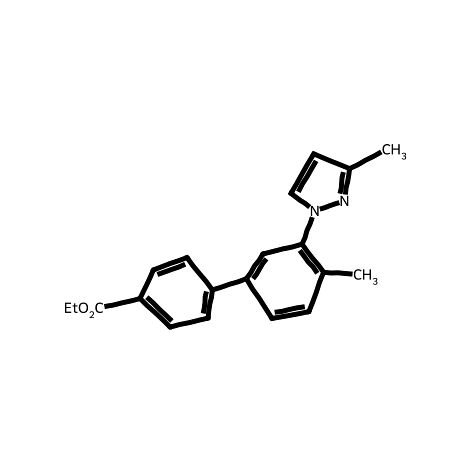 CCOC(=O)c1ccc(-c2ccc(C)c(-n3ccc(C)n3)c2)cc1